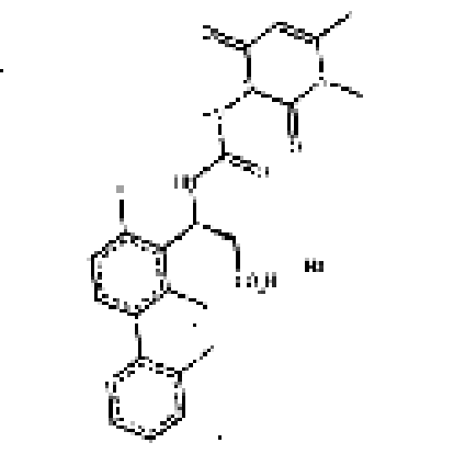 CC1=CC(=O)C(NC(=O)N[C@@H](CC(=O)O)c2c(F)ccc(-c3ccccc3C)c2C)C(=O)N1C.[NaH]